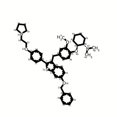 COc1cc(Cc2c(-c3ccc(OCCN4CCCC4)cc3)sc3cc(OCc4ccccc4)ccc23)ccc1O[C@H]1CCCC[C@@H]1N(C)C